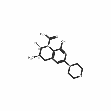 CC(=O)N1c2c(cc(N3CCOCC3)nc2O)C[C@@H](C)[C@@H]1O